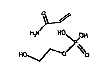 C=CC(N)=O.O=P(O)(O)OCCO